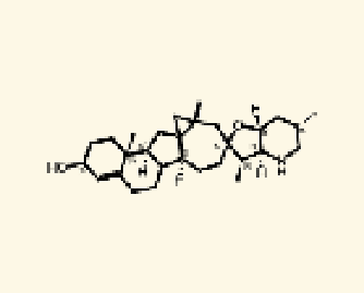 C[C@@H]1CN[C@H]2[C@@H](C)[C@@]3(CC[C@H]4C5CCC6=C[C@@H](O)CC[C@]6(C)[C@H]5CC45CC5(C)C3)O[C@@H]2C1